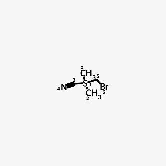 CS(C)(C#N)CBr